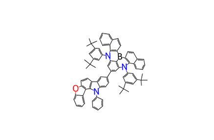 CC(C)(C)c1cc(N2c3cc(-c4ccc5c(c4)c4ccc6oc7ccccc7c6c4n5-c4ccccc4)cc4c3B(c3ccc5ccccc5c32)c2ccc3ccccc3c2N4c2cc(C(C)(C)C)cc(C(C)(C)C)c2)cc(C(C)(C)C)c1